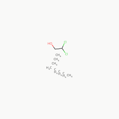 C.C.C.C.C.C.C.C.OCC(Cl)Cl